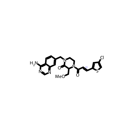 COCC1C(=O)N(Cc2ccc3c(N)ncnc3c2)CCN1C(=O)/C=C/c1cc(Cl)cs1